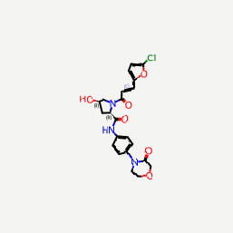 O=C(Nc1ccc(N2CCOCC2=O)cc1)[C@H]1C[C@@H](O)CN1C(=O)/C=C/c1ccc(Cl)o1